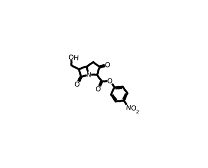 O=C1CC2C(CO)C(=O)N2C1C(=O)Oc1ccc([N+](=O)[O-])cc1